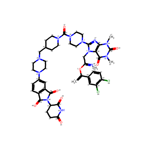 C=C(O/C(Cn1c(N2CCN(C(=O)N3CCC(CN4CCN(c5ccc6c(c5)C(=O)N(C5CCC(=O)NC5=O)C6=O)CC4)CC3)CC2)nc2c1c(=O)n(C)c(=O)n2C)=N\C)c1ccc(Cl)c(Cl)c1